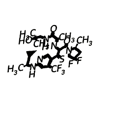 C/C(=N\C(C(=O)N1CC(F)(F)C[C@@H]1C)C(=S)c1cnc(N[C@@H](C)C2CC2)cc1C(F)(F)F)C(=O)NCC(C)(C)O